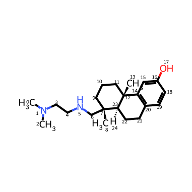 CN(C)CCNC[C@]1(C)CCC[C@]2(C)c3cc(O)ccc3CC[C@@H]12